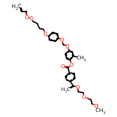 C=CCOOCCCCOc1ccc(OCOc2ccc(OC(=O)c3ccc(C(=C)OCCOCCOC)cc3)c(C)c2)cc1